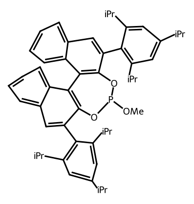 COp1oc2c(-c3c(C(C)C)cc(C(C)C)cc3C(C)C)cc3ccccc3c2c2c(o1)c(-c1c(C(C)C)cc(C(C)C)cc1C(C)C)cc1ccccc12